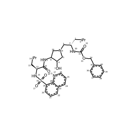 CC(C)C[C@@H](CN1CC(O)C(NC(=O)[C@H](CC(C)C)NS(=O)(=O)c2cccc3cccnc23)C1)NC(=O)OCc1ccccc1